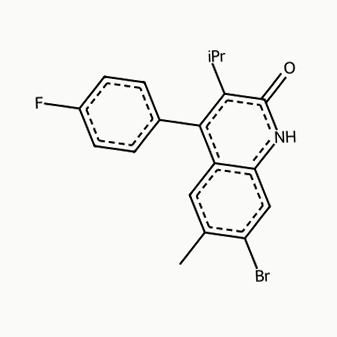 Cc1cc2c(-c3ccc(F)cc3)c(C(C)C)c(=O)[nH]c2cc1Br